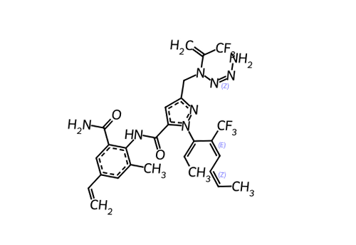 C=Cc1cc(C)c(NC(=O)c2cc(CN(/N=N\N)C(=C)C(F)(F)F)nn2C(=CC)/C(=C\C=C/C)C(F)(F)F)c(C(N)=O)c1